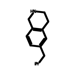 CC(C)Cc1ccc2c(c1)CCNC2